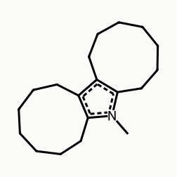 Cn1c2c(c3c1CCCCCCC3)CCCCCCC2